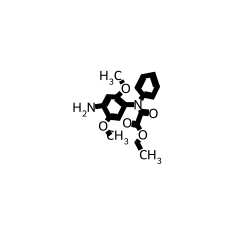 CCOC(=O)C(=O)N(c1ccccc1)c1cc(OC)c(N)cc1OC